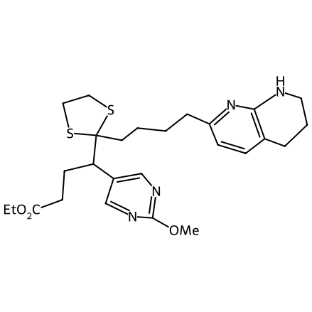 CCOC(=O)CCC(c1cnc(OC)nc1)C1(CCCCc2ccc3c(n2)NCCC3)SCCS1